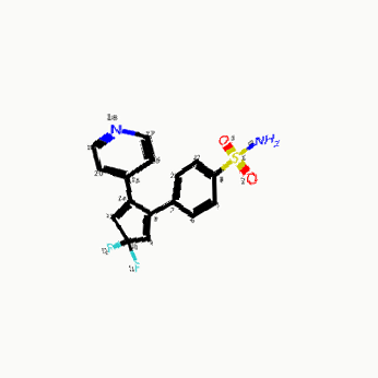 NS(=O)(=O)c1ccc(C2=CC(F)(F)C=C2c2ccncc2)cc1